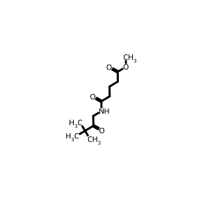 COC(=O)CCCC(=O)NCC(=O)C(C)(C)C